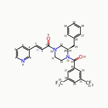 O=C(/C=C/c1cccnc1)N1CCN(C(=O)c2cc(C(F)(F)F)cc(C(F)(F)F)c2)[C@H](Cc2ccccc2)C1